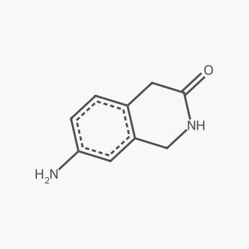 Nc1ccc2c(c1)CNC(=O)C2